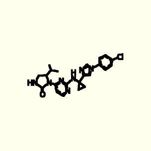 CC(C)C1CNC(=O)N1c1ccnc(NC2(c3cn(-c4ccc(Cl)cc4)cn3)CC2)n1